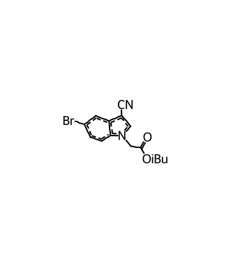 CC(C)COC(=O)Cn1cc(C#N)c2cc(Br)ccc21